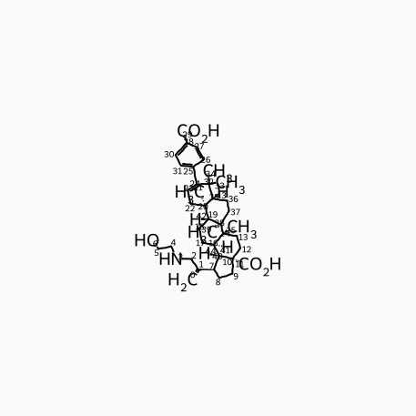 C=C(CNCCO)[C@@H]1CC[C@]2(C(=O)O)CC[C@]3(C)[C@H](CC[C@@H]4[C@@]5(C)CC=C(c6ccc(C(=O)O)cc6)C(C)(C)[C@@H]5CC[C@]43C)[C@@H]12